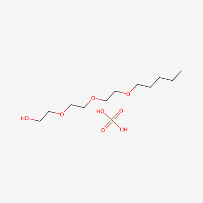 CCCCCOCCOCCOCCO.O=S(=O)(O)O